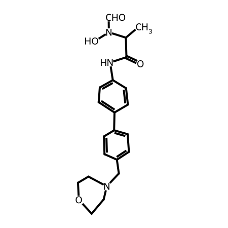 CC(C(=O)Nc1ccc(-c2ccc(CN3CCOCC3)cc2)cc1)N(O)C=O